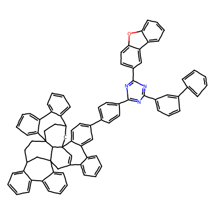 C1=C2CC34CC(CCC56CCC(CC1(c1ccc(-c7ccc(-c8nc(-c9cccc(-c%10ccccc%10)c9)nc(-c9ccc%10oc%11ccccc%11c%10c9)n8)cc7)cc1-c1ccccc12)C53)c1ccccc1-c1ccccc16)c1ccccc1-c1ccccc14